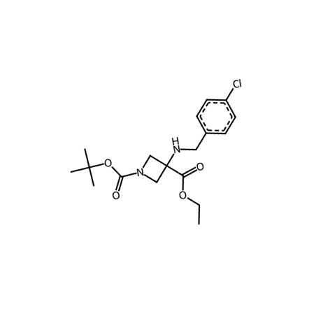 CCOC(=O)C1(NCc2ccc(Cl)cc2)CN(C(=O)OC(C)(C)C)C1